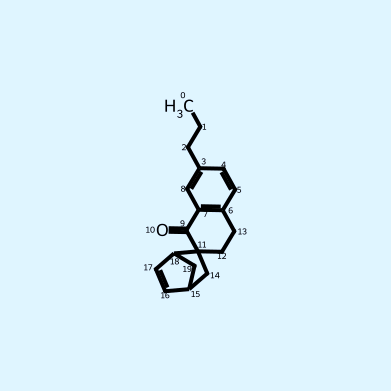 CCCc1ccc2c(c1)C(=O)C1(CC2)CC2C=CC1C2